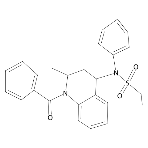 CCS(=O)(=O)N(c1ccccc1)C1CC(C)N(C(=O)c2ccccc2)c2ccccc21